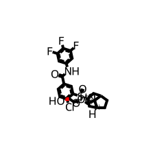 O=C(Nc1cc(F)c(F)c(F)c1)c1ccc(Cl)c(S(=O)(=O)[C@@H]2CC3CC[C@@H](C2)[C@@]3(O)COCCO)c1